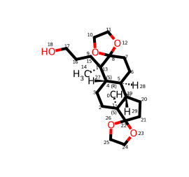 C[C@]12CC[C@H]3[C@@H](CCC4(OCCO4)[C@]3(C)CCCO)[C@@H]1CCC21OCCO1